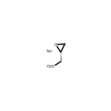 O=C([O-])C[C@H]1CO1.[Na+]